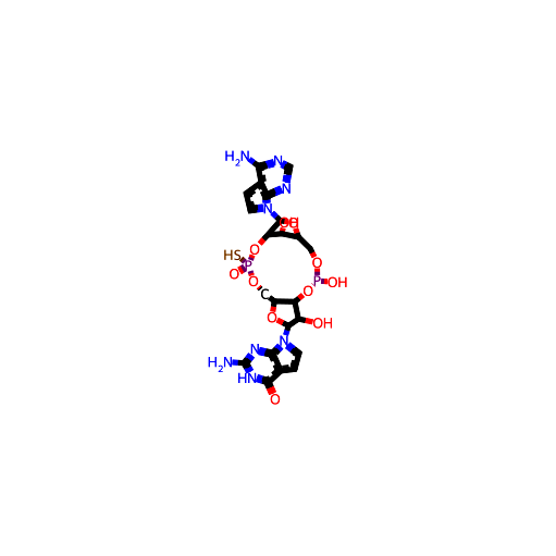 Nc1nc2c(ccn2C2OC3COP(=O)(S)OC4C(O)C(COP(O)OC3C2O)OC4n2ccc3c(N)ncnc32)c(=O)[nH]1